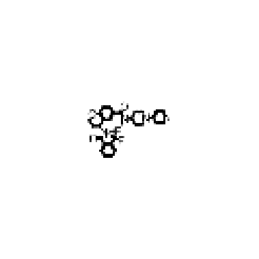 CN(C(=O)c1ccc2c(c1)C(NC(=O)c1ccccc1C(F)(F)F)CCO2)C1CCN(c2ccncc2)CC1